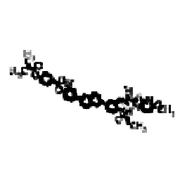 C=C(C)C(=O)Oc1ccc(C(=O)Oc2ccc(-c3ccc4cc(-c5ccc(NC(=O)CCC)c(/C=N/Nc6nc7ccc(OC)nc7s6)c5)ccc4c3)cc2Br)cc1